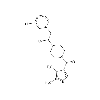 Cn1ncc(C(=O)N2CCC(C(N)Cc3cccc(Cl)c3)CC2)c1C(F)(F)F